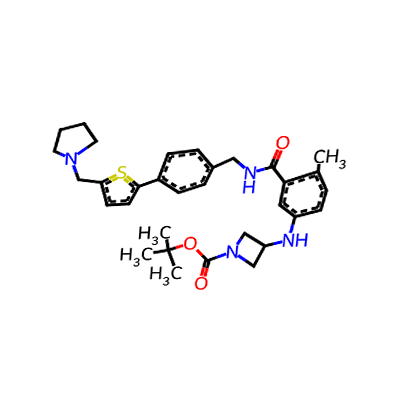 Cc1ccc(NC2CN(C(=O)OC(C)(C)C)C2)cc1C(=O)NCc1ccc(-c2ccc(CN3CCCC3)s2)cc1